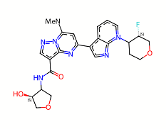 CNc1cc(-c2cnc3n(C4CCOC[C@H]4F)cccc2-3)nc2c(C(=O)NC3COC[C@H]3O)cnn12